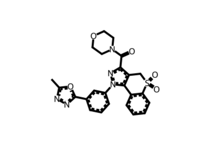 Cc1nnc(-c2cccc(-n3nc(C(=O)N4CCOCC4)c4c3-c3ccccc3S(=O)(=O)C4)c2)o1